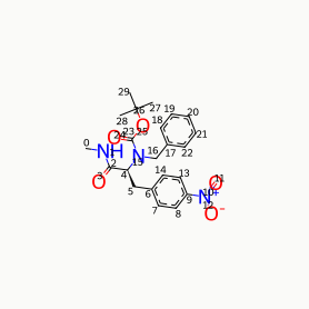 CNC(=O)[C@H](Cc1ccc([N+](=O)[O-])cc1)N(Cc1ccccc1)C(=O)OC(C)(C)C